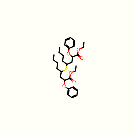 CCCCC(CC(Oc1ccccc1)C(=O)OCC)SC(CCCC)CC(Oc1ccccc1)C(=O)OCC